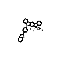 CC1(C)c2ccccc2-c2cc3c4ccccc4n(-c4ccc(-c5cn6ccccc6n5)cc4)c3cc21